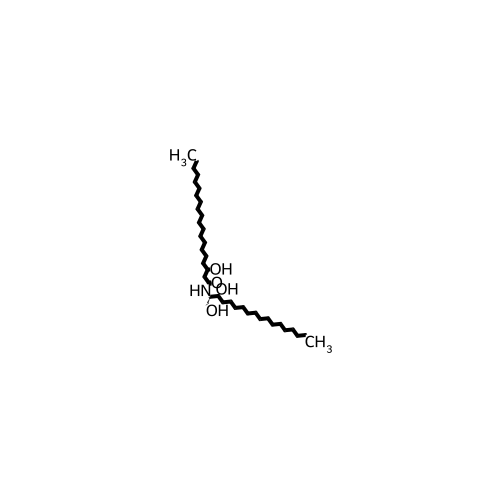 CCCCCCCCCCCCCCCCCC(O)CC(=O)N[C@@H](CO)[C@H](O)CCCCCCCCCCCCCCC